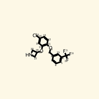 FC(F)(F)c1cccc(COc2ccc(Cl)cc2OC2CNC2)c1